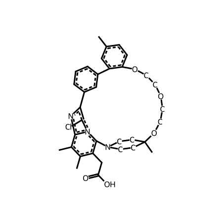 Cc1ccc2c(c1)-c1cccc(c1)-c1nc3c(C)c(C)c(CC(=O)O)c(n3c1Cl)N1CCC(C)(CC1)OCCOCCO2